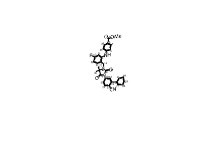 COC(=O)c1ccc(Nc2cc(F)ccc2CN2C(=O)N(c3ccc(C#N)c(-c4ccccc4)c3)C(=O)C2(C)C)cc1